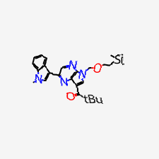 Cn1cc(-c2cnc3c(n2)c(C(=O)C(C)(C)C)cn3COCC[Si](C)(C)C)c2ccccc21